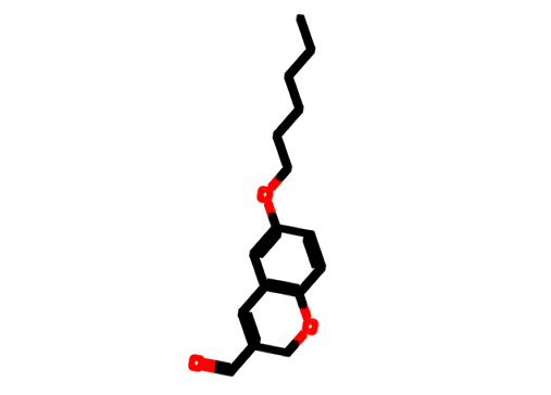 CCCCCCOc1ccc2c(c1)C=C(C=O)CO2